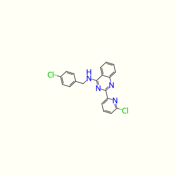 Clc1ccc(CNc2nc(-c3cccc(Cl)n3)nc3ccccc23)cc1